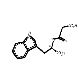 O=C(O)CC(=O)N[C@H](Cc1c[nH]c2ccccc12)C(=O)O